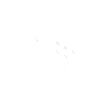 c1ccc(-n2c3ccccc3c3cc4c(cc32)c2ccccc2n4-c2nc(-c3cccc4c3oc3ccccc34)nc(-n3c4ccccc4c4ccccc43)n2)cc1